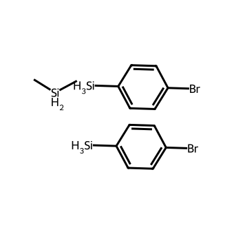 C[SiH2]C.[SiH3]c1ccc(Br)cc1.[SiH3]c1ccc(Br)cc1